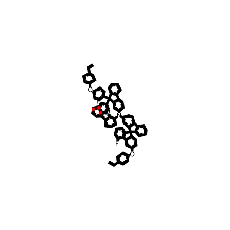 C=Cc1ccc(Oc2ccc(C3(c4cccc(F)c4F)c4ccccc4-c4ccc(N(c5ccc6c(c5)C(c5ccc(Oc7ccc(C=C)cc7)cc5)(c5cccc(F)c5F)c5ccccc5-6)c5cccc6c5oc5ccccc56)cc43)cc2)cc1